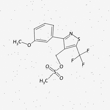 COc1cccc(-c2nsc(C(F)(F)F)c2COS(C)(=O)=O)c1